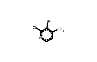 Cc1ccnc(Cl)c1C(C)C